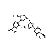 Cc1cc(-n2ncc(CN3CCN(O)[C@H](c4ccc5c(c4C)COC5=O)C3)n2)ncc1C#N